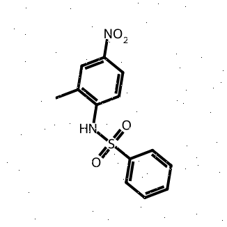 Cc1cc([N+](=O)[O-])ccc1NS(=O)(=O)c1ccccc1